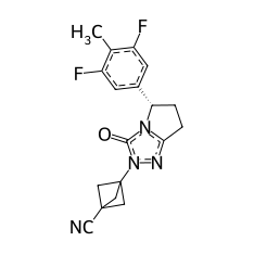 Cc1c(F)cc([C@@H]2CCc3nn(C45CC(C#N)(C4)C5)c(=O)n32)cc1F